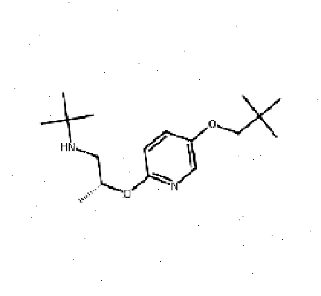 C[C@H](CNC(C)(C)C)Oc1ccc(OCC(C)(C)C)cn1